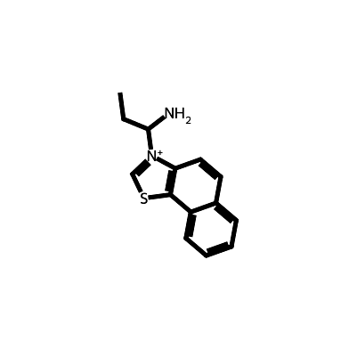 CCC(N)[n+]1csc2c3ccccc3ccc21